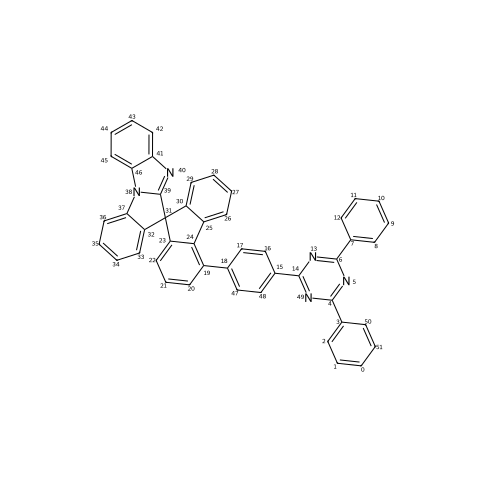 c1ccc(-c2nc(-c3ccccc3)nc(-c3ccc(-c4cccc5c4-c4ccccc4C54c5ccccc5-n5c4nc4ccccc45)cc3)n2)cc1